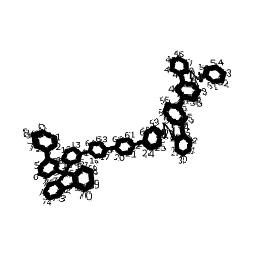 c1ccc(-c2cccc(C3(c4cccc(-c5ccc(-c6ccc(-c7ccc(-n8c9ccccc9c9cc(-c%10ccc%11c(c%10)c%10ccccc%10n%11-c%10ccccc%10)ccc98)cc7)cc6)cc5)c4)c4ccccc4-c4ccccc43)c2)cc1